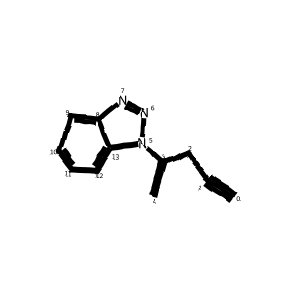 C#CCC(=C)n1nnc2ccccc21